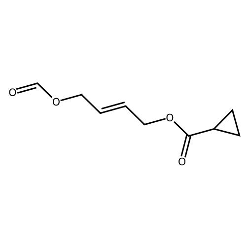 O=COC/C=C/COC(=O)C1CC1